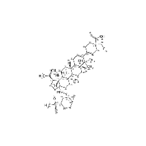 C=C(C)[C@@H]1CC[C@]2(NCC[C@]34CC[C@H](S(C)(=O)=O)CC3C4)CC[C@]3(C)[C@H](CC[C@@H]4[C@@]5(C)CC=C(C6=CC[C@](CF)(C(=O)O)CC6)C(C)(C)[C@@H]5CC[C@]43C)[C@@H]12